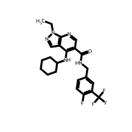 CCn1ncc2c(NC3CCCCC3)c(C(=O)NCc3ccc(F)c(C(F)(F)F)c3)cnc21